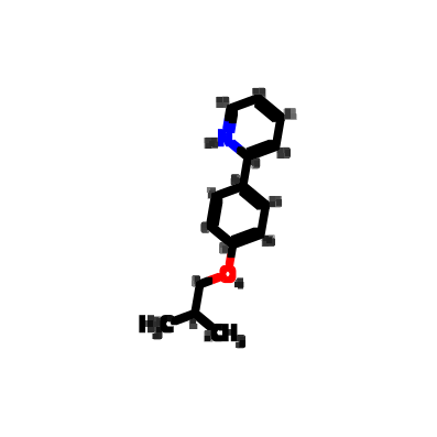 CC(C)COc1ccc(-c2ccccn2)cc1